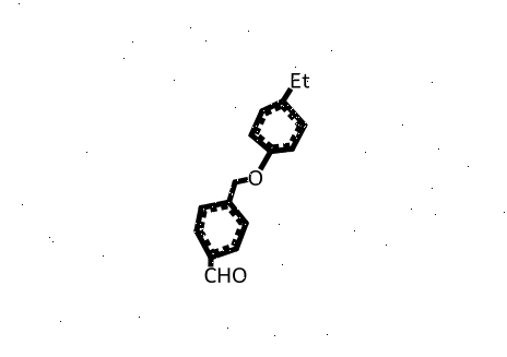 CCc1ccc(OCc2ccc(C=O)cc2)cc1